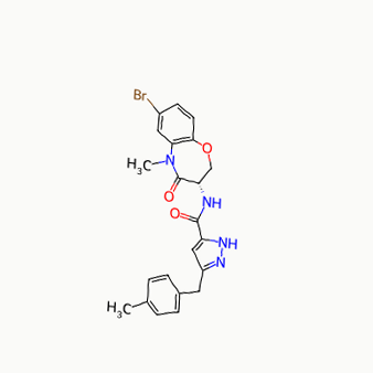 Cc1ccc(Cc2cc(C(=O)N[C@H]3COc4ccc(Br)cc4N(C)C3=O)[nH]n2)cc1